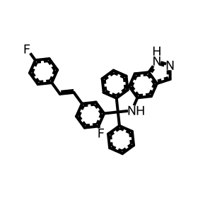 Fc1ccc(C=Cc2ccc(F)c(C(Nc3ccc4[nH]ncc4c3)(c3ccccc3)c3ccccc3)c2)cc1